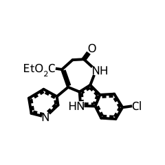 CCOC(=O)C1=C(c2cccnc2)c2[nH]c3ccc(Cl)cc3c2NC(=O)C1